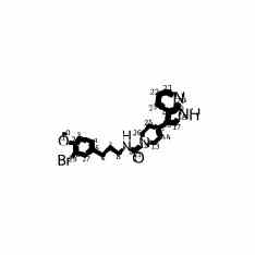 COc1ccc(CCCNC(=O)N2CC=C(c3c[nH]c4ncccc34)CC2)cc1Br